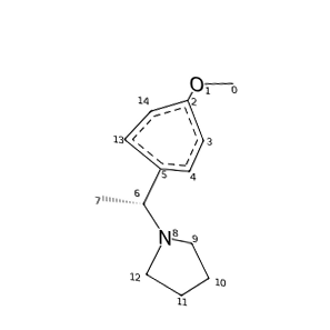 COc1ccc([C@@H](C)N2CCCC2)cc1